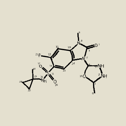 CC1NNC(n2c(=O)n(C)c3cc(F)c(S(=O)(=O)NC4(C)CC4)cc32)O1